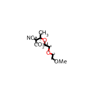 COCCOCCOC(C)C(C#N)C(=O)O